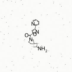 N[C@H]1C[C@@]2(CCN(C(=O)c3cc(-c4ccccn4)no3)C2)C1